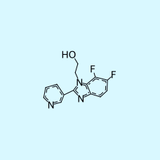 OCCn1c(-c2cccnc2)nc2ccc(F)c(F)c21